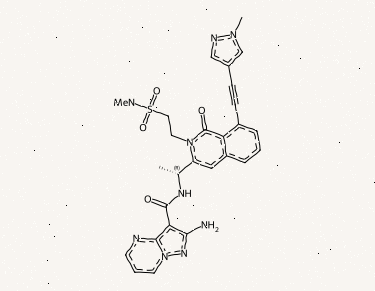 CNS(=O)(=O)CCn1c([C@@H](C)NC(=O)c2c(N)nn3cccnc23)cc2cccc(C#Cc3cnn(C)c3)c2c1=O